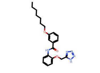 CCCCCCCOc1cccc(C(=O)Nc2ccccc2OCc2nnn[nH]2)c1